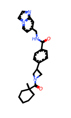 CC1(C(=O)N2CC(c3ccc(C(=O)NCc4ccn5ccnc5c4)cc3)C2)CCCCC1